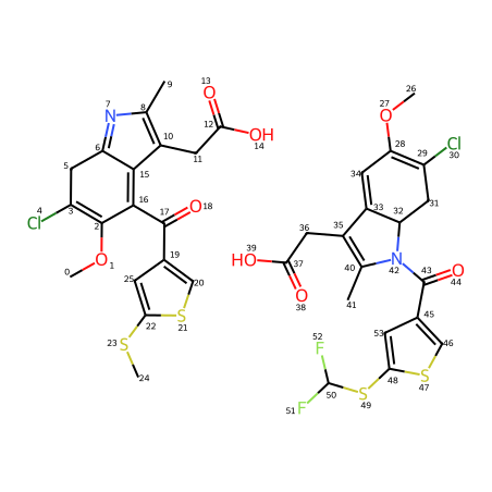 COC1=C(Cl)CC2=NC(C)=C(CC(=O)O)C2=C1C(=O)c1csc(SC)c1.COC1=C(Cl)CC2C(=C1)C(CC(=O)O)=C(C)N2C(=O)c1csc(SC(F)F)c1